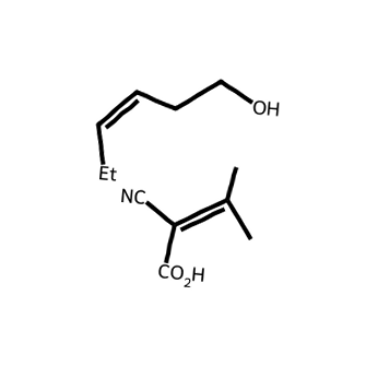 CC(C)=C(C#N)C(=O)O.CC/C=C\CCO